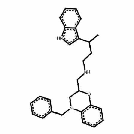 CC(CCNCC1CN(Cc2ccccc2)c2ccccc2O1)c1c[nH]c2ccccc12